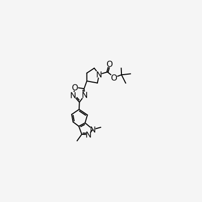 Cc1nn(C)c2cc(-c3noc(C4CCN(C(=O)OC(C)(C)C)C4)n3)ccc12